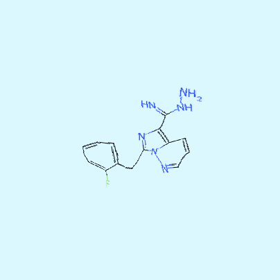 N=C(NN)c1nc(Cc2ccccc2F)n2ncccc12